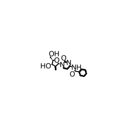 C=C1[C@H](n2ccc(NC(=O)c3ccccc3)nc2=O)O[C@H](CO)[C@H]1O